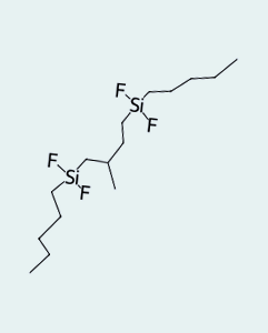 CCCCC[Si](F)(F)CCC(C)C[Si](F)(F)CCCCC